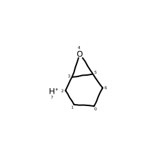 C1CCC2OC2C1.[H+]